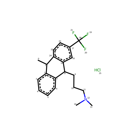 CC1c2ccccc2C(CCCN(C)C)c2cc(C(F)(F)F)ccc21.Cl